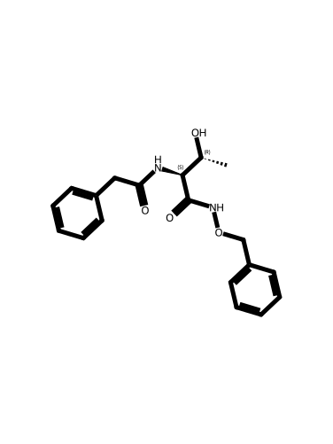 C[C@@H](O)[C@H](NC(=O)Cc1ccccc1)C(=O)NOCc1ccccc1